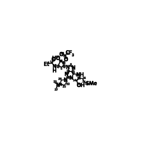 CCC(=O)N[C@H]1C[C@@H](n2cnc3c(N[C@H](CO)CCSC)nc(N4CC[C@@H](N(C)C)C4)nc32)[C@H](OC(=O)C(F)(F)F)[C@@H]1O